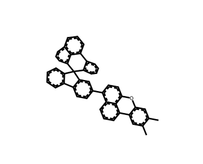 Cc1cc2c(cc1C)-c1cccc3c(-c4ccc5c(c4)C4(c6ccccc6-5)c5ccccc5-c5cccc6cccc4c56)ccc(c13)O2